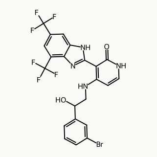 O=c1[nH]ccc(NCC(O)c2cccc(Br)c2)c1-c1nc2c(C(F)(F)F)cc(C(F)(F)F)cc2[nH]1